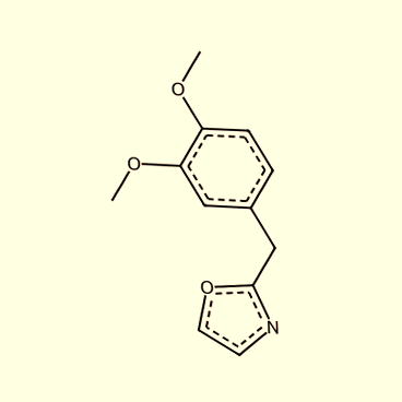 COc1ccc(Cc2ncco2)cc1OC